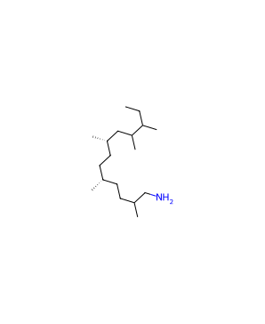 CCC(C)C(C)C[C@@H](C)CC[C@@H](C)CCC(C)CN